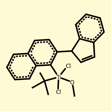 C[O][Ti]([Cl])([Cl])([c]1c(C2C=Cc3ccccc32)ccc2ccccc12)[C](C)(C)C